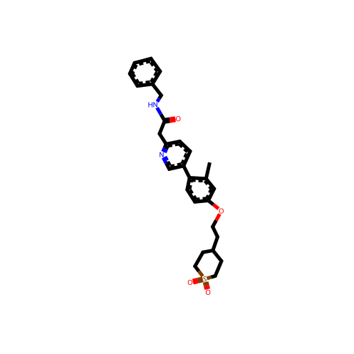 Cc1cc(OCCC2CCS(=O)(=O)CC2)ccc1-c1ccc(CC(=O)NCc2ccccc2)nc1